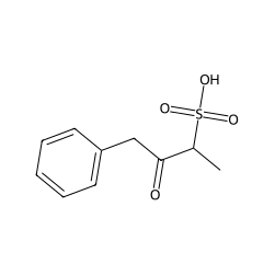 CC(C(=O)Cc1ccccc1)S(=O)(=O)O